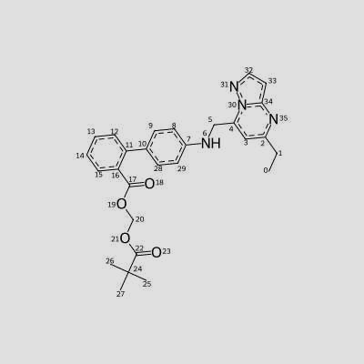 CCc1cc(CNc2ccc(-c3ccccc3C(=O)OCOC(=O)C(C)(C)C)cc2)n2nccc2n1